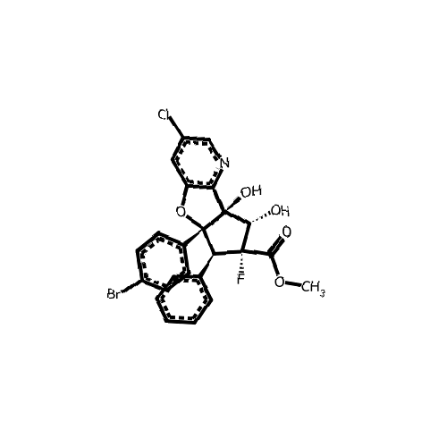 COC(=O)[C@]1(F)[C@@H](O)[C@@]2(O)c3ncc(Cl)cc3O[C@@]2(c2ccc(Br)cc2)[C@@H]1c1ccccc1